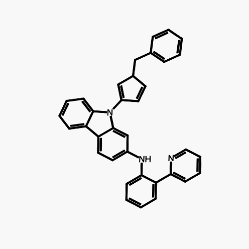 C1=CC(Cc2ccccc2)C=C1n1c2ccccc2c2ccc(Nc3ccccc3-c3ccccn3)cc21